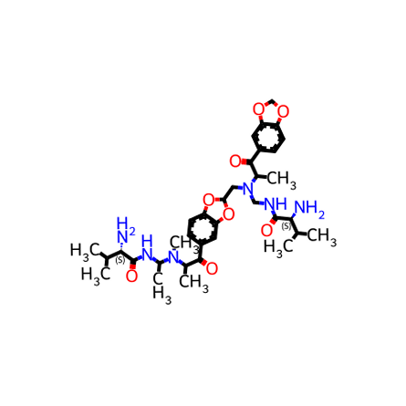 CC(C)[C@H](N)C(=O)NCN(CC1Oc2ccc(C(=O)C(C)N(C)C(C)NC(=O)[C@@H](N)C(C)C)cc2O1)C(C)C(=O)c1ccc2c(c1)OCO2